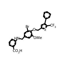 COc1cc(CNc2cccc(C(=O)O)c2)cc(Br)c1OCc1cc(-c2ccccc2)c(C(F)(F)F)s1